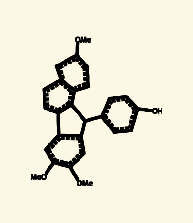 COc1ccc2c3c(ccc2c1)-c1cc(OC)c(OC)cc1C3c1ccc(O)cc1